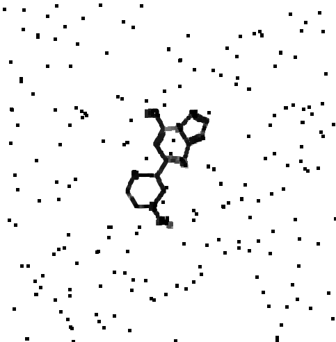 BN1CCSC(c2cc(O)n3nccc3n2)C1